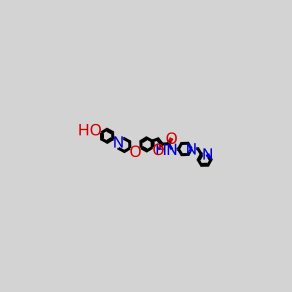 O=C(NC1CCN(Cc2ccccn2)CC1)c1cc2ccc(OC3CCN(c4ccc(O)cc4)CC3)cc2o1